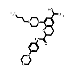 CCCCN1CCN(c2cc(C(C)O)cc3c2OC(C(=O)Nc2ccc(N4CCOCC4)cc2)CC3)CC1